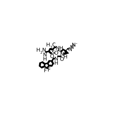 CC(NC(=O)[C@@H]1C[C@]2(CN=[N+]=[N-])C[C@@H]2N1C(=O)CNC(=O)c1ccc2c(c1)-c1ccccc1C2(F)F)c1cc(C(=N)N)cs1